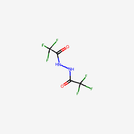 O=C(NNC(=O)C(F)(F)F)C(F)(F)F